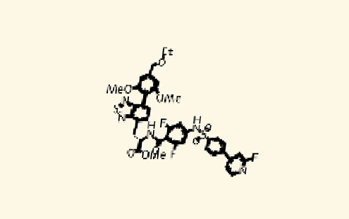 CCOCc1cc(OC)c(-c2ccc(C[C@H](NC(=O)c3c(F)cc(NS(=O)(=O)c4ccc(-c5ccnc(F)c5)cc4)cc3F)C(=O)OC)c3nsnc23)c(OC)c1